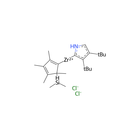 CC1=C(C)C(C)([SiH](C)C)[C]([Zr+2][c]2[nH]cc(C(C)(C)C)c2C(C)(C)C)=C1C.[Cl-].[Cl-]